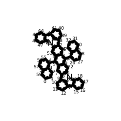 c1ccc2c(-c3c4cc5c6cccc7c8ccccc8n(c5cc4c(-c4cccc5ccccc45)c4cc5c8cccc9c%10ccccc%10n(c5cc34)c98)c76)cccc2c1